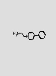 NCCN1C=CC(C2=CCC=CC2)=CC1